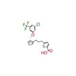 O=C(O)c1ccc(CCCC2=CCC[C@@H]2COc2cc(Cl)cc(C(F)(F)F)c2)s1